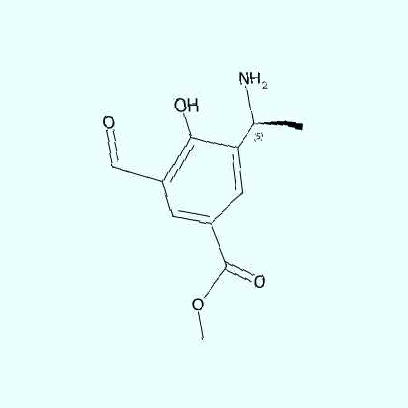 COC(=O)c1cc(C=O)c(O)c([C@H](C)N)c1